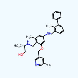 Cc1cc(NCc2cccc(-c3ccccc3)c2C)cc(OCc2cncc(C#N)c2)c1CN[C@H](CO)C(=O)O